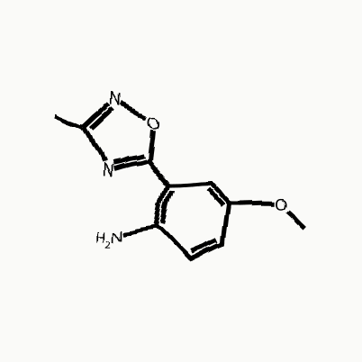 COc1ccc(N)c(-c2nc(C)no2)c1